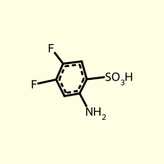 Nc1cc(F)c(F)cc1S(=O)(=O)O